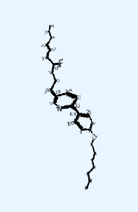 CCCCCCCOc1ccc(-c2ccc(CCCC(F)CCCCCC)cn2)cc1